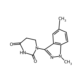 Cc1ccc2c(c1)c(N1CCC(=O)NC1=O)nn2C